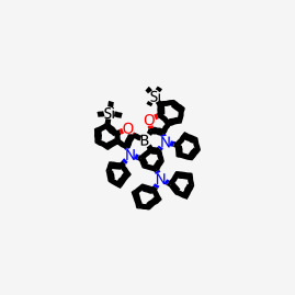 C[Si](C)(C)c1cccc2c3c(oc12)B1c2oc4c([Si](C)(C)C)cccc4c2N(c2ccccc2)c2cc(N(c4ccccc4)c4ccccc4)cc(c21)N3c1ccccc1